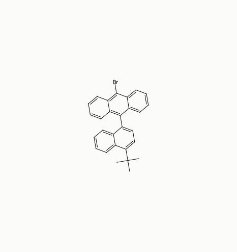 CC(C)(C)c1ccc(-c2c3ccccc3c(Br)c3ccccc23)c2ccccc12